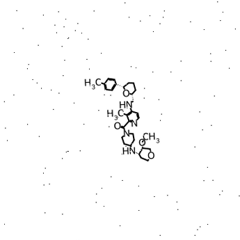 CO[C@@H]1COCC[C@@H]1NC1CCN(C(=O)c2nccc(NC[C@H]3CCC[C@@H](c4ccc(C)cc4)O3)c2C)CC1